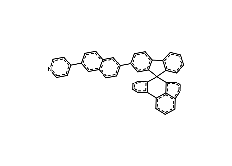 c1ccc2c(c1)-c1ccc(-c3ccc4cc(-c5ccncc5)ccc4c3)cc1C21c2ccccc2-c2cccc3cccc1c23